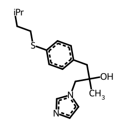 CC(C)CCSc1ccc(CC(C)(O)Cn2ccnc2)cc1